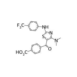 CN(C)c1nc(Nc2ccc(C(F)(F)F)cc2)sc1C(=O)c1ccc(C(=O)O)cc1